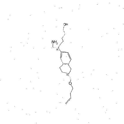 C=CCCOC[C@@H]1CCc2cc([C@H](CN)CCCCO)ccc2C1